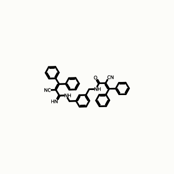 N#CC(C(=N)NCc1cccc(CNC(=O)C(C#N)=C(c2ccccc2)c2ccccc2)c1)=C(c1ccccc1)c1ccccc1